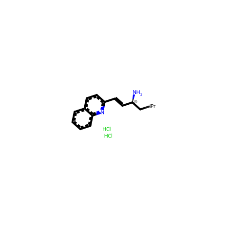 CC(C)C[C@H](N)C=Cc1ccc2ccccc2n1.Cl.Cl